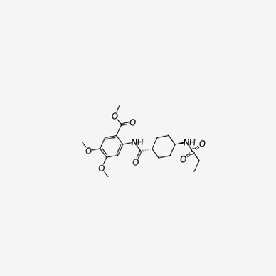 CCS(=O)(=O)N[C@H]1CC[C@H](C(=O)Nc2cc(OC)c(OC)cc2C(=O)OC)CC1